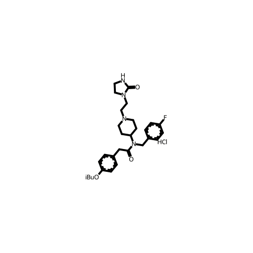 CC(C)COc1ccc(CC(=O)N(Cc2ccc(F)cc2)C2CCN(CCN3CCNC3=O)CC2)cc1.Cl